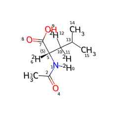 [2H]N(C(C)=O)[C@]([2H])(C(=O)O)C([2H])([2H])C(C)C